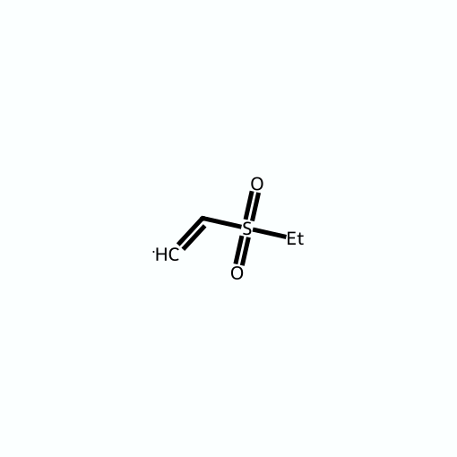 [CH]=CS(=O)(=O)CC